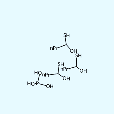 CCCC(O)S.CCCC(O)S.CCCC(O)S.OP(O)O